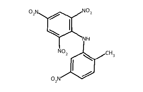 Cc1ccc([N+](=O)[O-])cc1Nc1c([N+](=O)[O-])cc([N+](=O)[O-])cc1[N+](=O)[O-]